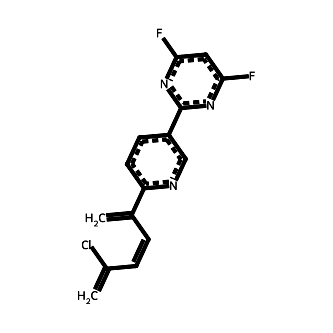 C=C(Cl)/C=C\C(=C)c1ccc(-c2nc(F)cc(F)n2)cn1